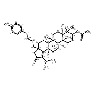 CC(=O)O[C@H]1CC[C@]2(C)[C@H]3CC[C@@H]4C5=C(C(C)C)C(=O)C[C@]5(CCNCc5ccc(Cl)cc5)CC[C@@]4(C)[C@]3(C)CC[C@H]2C1(C)C